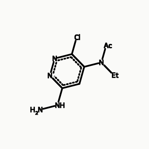 CCN(C(C)=O)c1cc(NN)nnc1Cl